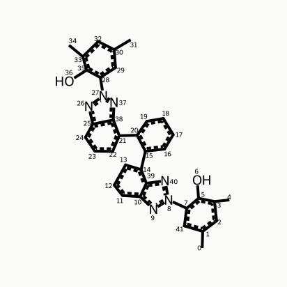 Cc1cc(C)c(O)c(-n2nc3cccc(-c4ccccc4-c4cccc5nn(-c6cc(C)cc(C)c6O)nc45)c3n2)c1